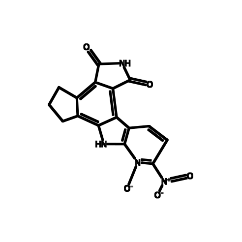 O=C1NC(=O)c2c1c1c(c3[nH]c4c(ccc([N+](=O)[O-])[n+]4[O-])c23)CCC1